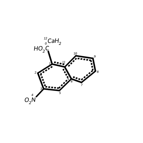 O=C(O)c1cc([N+](=O)[O-])cc2ccccc12.[CaH2]